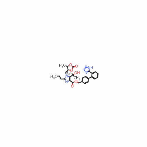 CCCc1nc(C(=O)OCc2ccc(-c3ccccc3-c3nnn[nH]3)cc2)c(C(C)(C)O)n1CC1OC(=O)OC1C